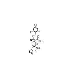 CC(NC(=O)Nc1snc(OCc2c(F)cc(Cl)cc2F)c1C(N)=O)C1CCCN1C